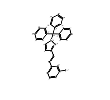 Fc1cccc(/C=C/c2ccn(C(c3ccccc3)(c3ccccc3)c3ccccc3)n2)c1